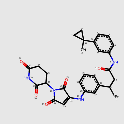 CC(C)C(CC(=O)Nc1cccc(C2(C#N)CC2)c1)c1cccc(NC2=CC(=O)N(C3CCC(=O)NC3=O)C2=O)c1